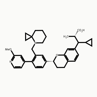 COc1cc(-c2ccc([C@H]3CCc4ccc(C(C5CC5)[C@H](C)C(=O)O)cc4O3)cc2CN2CCCCC23CC3)ccn1